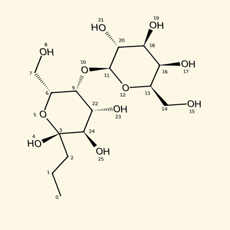 CCC[C@]1(O)O[C@H](CO)[C@H](O[C@@H]2O[C@H](CO)[C@H](O)[C@H](O)[C@H]2O)[C@H](O)[C@H]1O